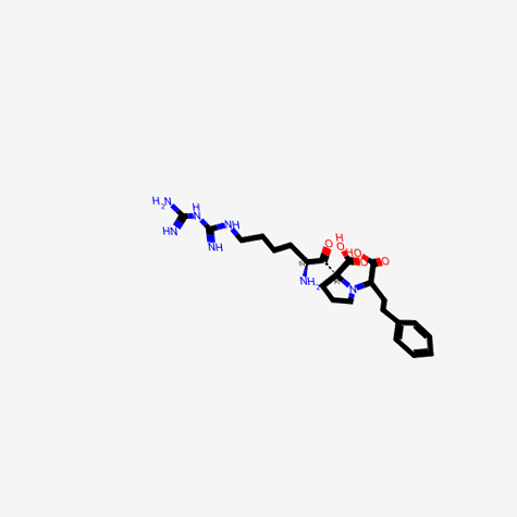 N=C(N)NC(=N)NCCCC[C@H](N)C(=O)[C@@]1(C(=O)O)CCCN1C(CCc1ccccc1)C(=O)O